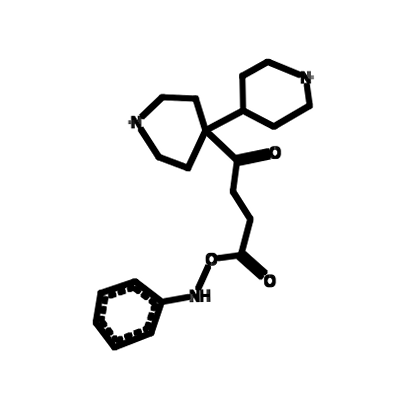 O=C(CCC(=O)C1(C2CC[N]CC2)CC[N]CC1)ONc1ccccc1